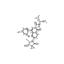 CC1C(O)C2(CC2)C(=O)N1c1ccc2c(=O)c(C(=O)N[C@@H](C3CC3)C(F)(F)F)cn(-c3ncc(F)cc3F)c2n1